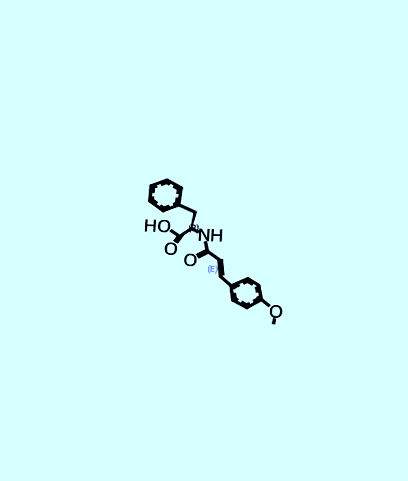 COc1ccc(/C=C/C(=O)N[C@H](Cc2ccccc2)C(=O)O)cc1